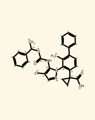 Cc1c(-c2ccccc2)ccc(C2(C(=O)O)CC2)c1-n1ncc(Cl)c1NC(=O)OC(C)c1ccccc1